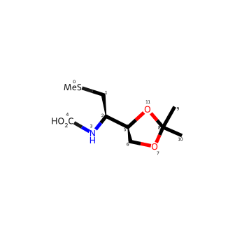 CSC[C@H](NC(=O)O)[C@@H]1COC(C)(C)O1